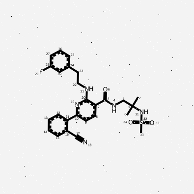 CC(C)(CNC(=O)c1ccc(-c2ccccc2C#N)nc1NCCc1cccc(F)c1)NS(C)(=O)=O